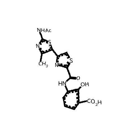 CC(=O)Nc1nc(C)c(-c2csc(C(=O)Nc3cccc(C(=O)O)c3O)n2)s1